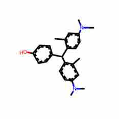 Cc1cc(N(C)C)ccc1C(c1ccc(O)cc1)c1ccc(N(C)C)cc1C